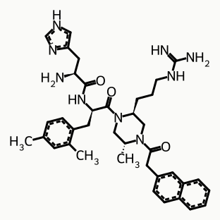 Cc1ccc(C[C@@H](NC(=O)[C@@H](N)Cc2c[nH]cn2)C(=O)N2C[C@@H](C)N(C(=O)Cc3ccc4ccccc4c3)C[C@@H]2CCCNC(=N)N)c(C)c1